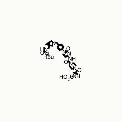 CC(C)(C)OC(=O)NCC12CC1CN(Cc1ccc(-n3ccc(NC(=O)N4CCN(C(=O)C(C)(C)NC(=O)O)CC4)nc3=O)cc1)C2